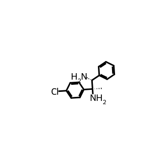 C[C@](N)(c1ccc(Cl)cc1)[C@H](N)c1ccccc1